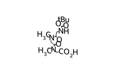 CN(CC(=O)O)C(=O)CN(C)C(=O)CNC(=O)OC(C)(C)C